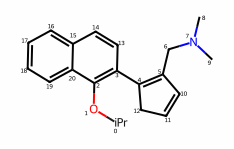 CC(C)Oc1c(C2=C(CN(C)C)C=CC2)ccc2ccccc12